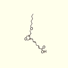 CCCCCCOCC[C@@H]1COC[C@@H]1CC=CCC=CC(=O)O